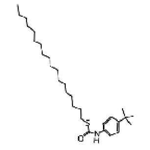 CCCCCCCCCCCCCCCCCCSC(=O)Nc1ccc(C(C)(C)C)cc1